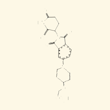 O=C(O)COC1CCN(c2ccc3c(c2)C(=O)N(C2CCC(=O)NC2=O)C3=O)CC1